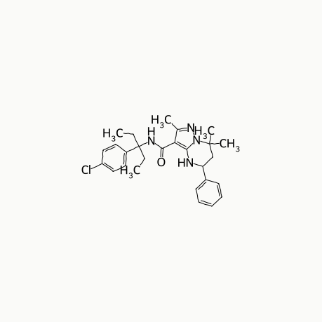 CCC(CC)(NC(=O)c1c(C)nn2c1NC(c1ccccc1)CC2(C)C)c1ccc(Cl)cc1